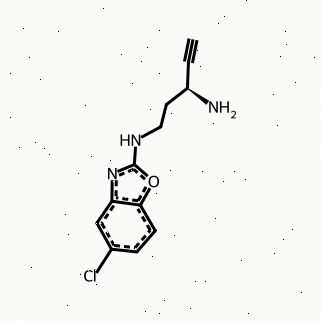 C#C[C@@H](N)CCNc1nc2cc(Cl)ccc2o1